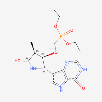 CCOP(=O)(CO[C@@H]1[C@H](C)[C@@H](O)N[C@H]1c1c[nH]c2c(=O)[nH]cnc12)OCC